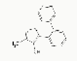 CC1=CCC(c2ccccc2-c2ccccc2)=C1C